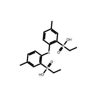 CCP(=O)(O)c1cc(C)ccc1Sc1ccc(C)cc1P(=O)(O)CC